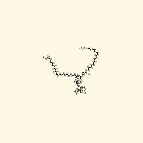 CCCCC/C=C\C/C=C\CCCCCCCCCCCC(=O)OC[C@H](COP(=O)([O-])OCC[N+](C)(C)C)OC(=O)CCCCCCCCC/C=C\CCCCCCCCCC